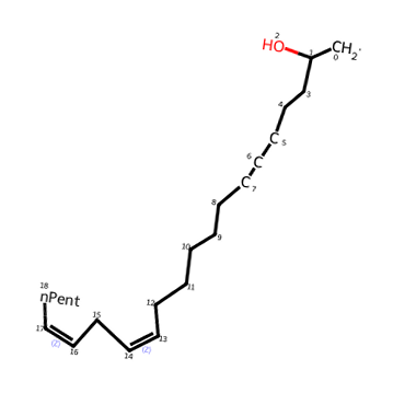 [CH2]C(O)CCCCCCCCCC/C=C\C/C=C\CCCCC